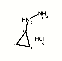 Cl.NNC1CC1